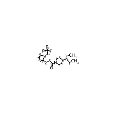 CCN(CC)C1CCN(C(=O)CCc2nccn2CC(F)(F)F)CC1